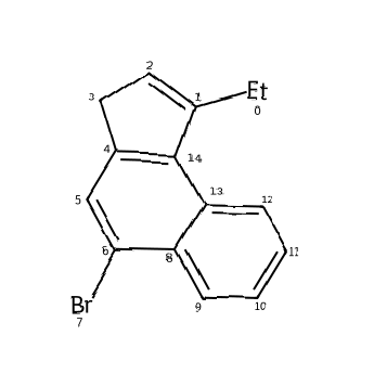 CCC1=CCc2cc(Br)c3ccccc3c21